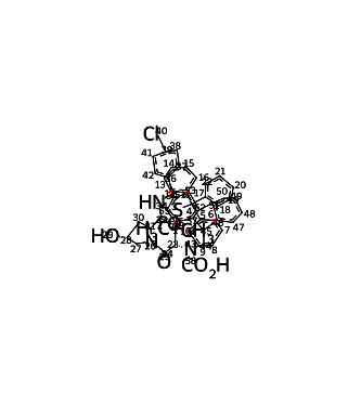 CC(C)(SC(c1ccccc1)(c1ccccc1)c1ccccc1)[C@@H](C(=O)N1C[C@H](O)C[C@H]1C(=O)NCc1ccc(Cl)cc1)N(CC1c2ccccc2-c2ccccc21)C(=O)O